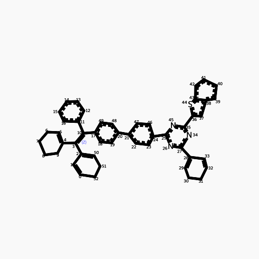 C1=CC(/C(C2=CCCCC2)=C(/c2ccccc2)c2ccc(-c3ccc(-c4nc(C5=CCCC=C5)nc(-c5cc6ccccc6s5)n4)cc3)cc2)=CCC1